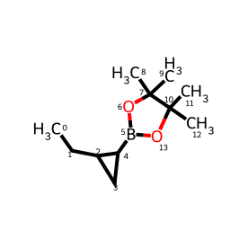 CCC1CC1B1OC(C)(C)C(C)(C)O1